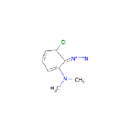 CN(C)C1=CC=CC(Cl)C1=[N+]=[N-]